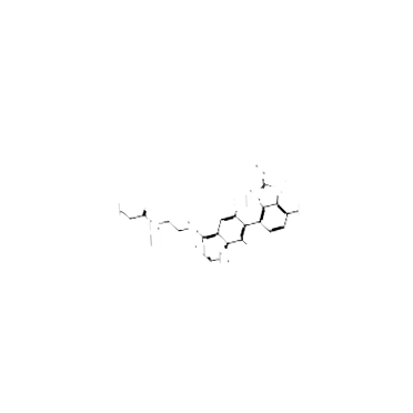 Nc1nc2c(-c3c(Cl)cc4c(NCCNC(=O)CCl)ncnc4c3F)ccc(F)c2s1